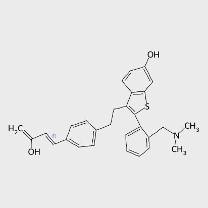 C=C(O)/C=C/c1ccc(CCc2c(-c3ccccc3CN(C)C)sc3cc(O)ccc23)cc1